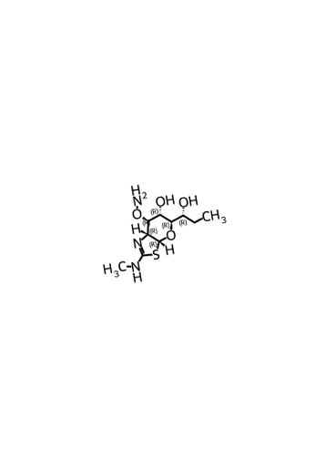 CC[C@@H](O)[C@H]1O[C@@H]2SC(NC)=N[C@@H]2[C@@H](ON)[C@@H]1O